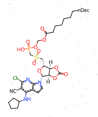 CCCCCCCCCCCCCCCCC(=O)OCOP(=O)(O)CS(=O)(=O)C[C@H]1O[C@@H](n2ccc3c(NC4CCCC4)c(C#N)c(Cl)nc32)[C@@H]2OC(=O)O[C@@H]21